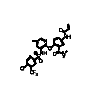 C=CC(=O)Nc1ccc(Oc2ncc(C)cc2NS(=O)(=O)c2ccc(Cl)c(C(F)(F)F)c2)c(C(=O)N(C)C)c1